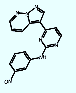 O=Nc1cccc(Nc2nccc(-c3cnn4ncccc34)n2)c1